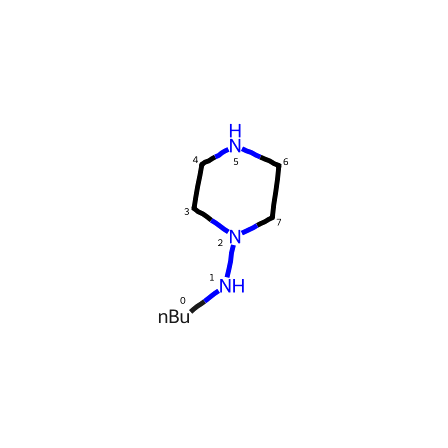 CCCCNN1CCNCC1